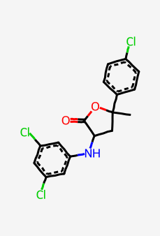 CC1(c2ccc(Cl)cc2)CC(Nc2cc(Cl)cc(Cl)c2)C(=O)O1